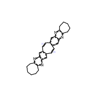 C1=C\c2cc3nc4c(nc3cc2/C=C\c2cc3nc5c(nc3cc2/1)CCCCCC5)CCCCC4